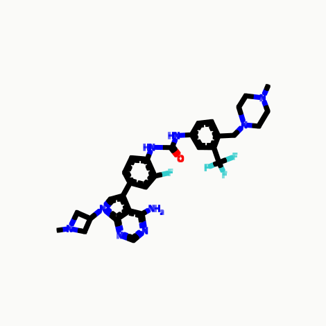 CN1CCN(Cc2ccc(NC(=O)Nc3ccc(-c4cn(C5CN(C)C5)c5ncnc(N)c45)cc3F)cc2C(F)(F)F)CC1